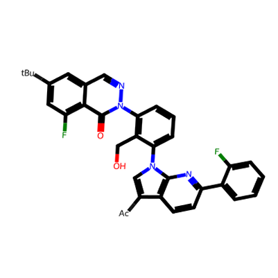 CC(=O)c1cn(-c2cccc(-n3ncc4cc(C(C)(C)C)cc(F)c4c3=O)c2CO)c2nc(-c3ccccc3F)ccc12